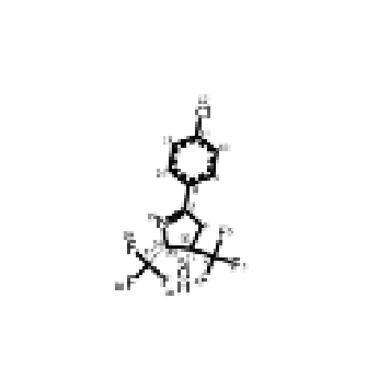 O[C@@]1(C(F)(F)F)CC(c2ccc(Cl)cc2)=N[C@H]1C(F)(F)F